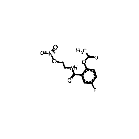 CC(=O)Oc1ccc(F)cc1C(=O)NCCO[N+](=O)[O-]